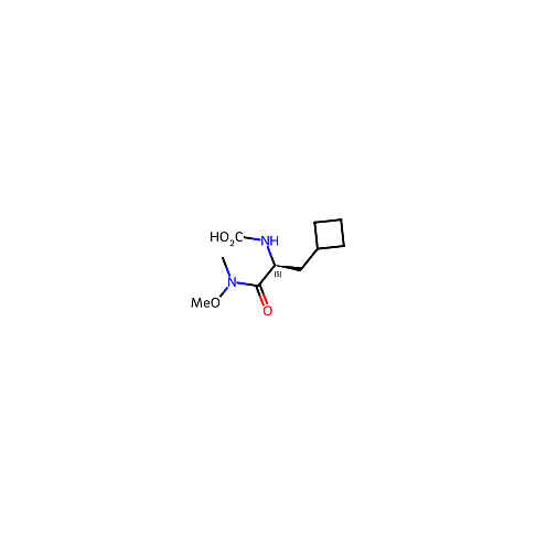 CON(C)C(=O)[C@H](CC1CCC1)NC(=O)O